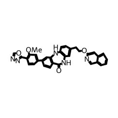 COc1cc(-c2ccc3c(c2)Nc2ccc(CCOc4cc5ccccc5cn4)cc2NC3=O)ccc1-c1nnco1